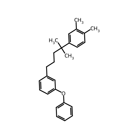 Cc1ccc(C(C)(C)CCCc2cccc(Oc3ccccc3)c2)cc1C